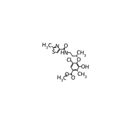 COC(=O)c1cc(Cl)c(OC(C)CCNC(=O)c2csc(C)n2)c(O)c1C